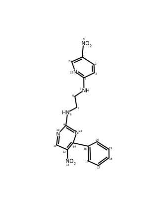 O=[N+]([O-])c1ccc(NCCNc2ncc([N+](=O)[O-])c(-c3ccccc3)n2)nc1